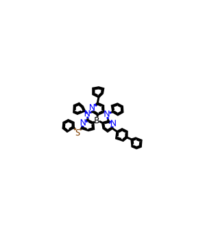 c1ccc(Sc2ccc3c(n2)N(c2ccccc2)c2nc(-c4ccccc4)cc4c2B3c2ccc(-c3ccc(-c5ccccc5)cc3)nc2N4c2ccccc2)cc1